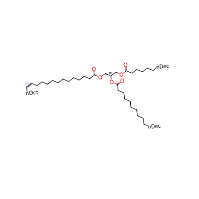 CCCCCCCC/C=C\CCCCCCCCCCCC(=O)OC[C@@H](COC(=O)CCCCCCCCCCCCCCC)OC(=O)CCCCCCCCCCCCCCCCCCC